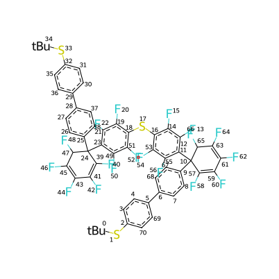 CC(C)(C)Sc1ccc(-c2ccc(C3(c4c(F)c(F)c(Sc5c(F)c(F)c(C6(c7ccc(-c8ccc(SC(C)(C)C)cc8)cc7)C(F)=C(F)C(F)=C(F)C6F)c(F)c5F)c(F)c4F)C(F)=C(F)C(F)=C(F)C3F)cc2)cc1